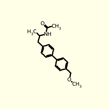 COCc1ccc(-c2ccc(CC(C)NC(C)=O)cc2)cc1